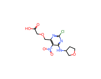 O=C(O)COCc1nc(Cl)nc(NC2CCOC2)c1[N+](=O)[O-]